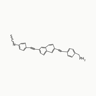 PCc1ccc(C#Cc2ccc3cc(C#Cc4ccc(N=C=S)cc4)ccc3c2)cc1